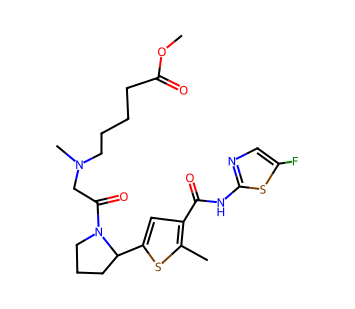 COC(=O)CCCCN(C)CC(=O)N1CCCC1c1cc(C(=O)Nc2ncc(F)s2)c(C)s1